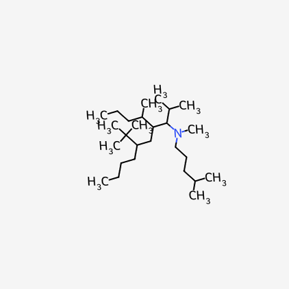 CCCCC(CC(C(C)CCC)C(C(C)C)N(C)CCCC(C)C)C(C)(C)C